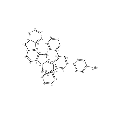 CCCCc1ccc(-c2nc(-c3ccccc3)nc(-c3ccccc3-n3c4ccccc4c4ccc5sc6ccccc6c5c43)n2)cc1